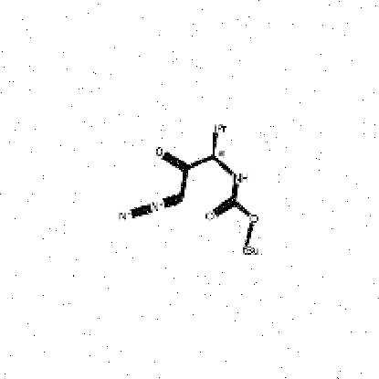 CC(C)[C@@H](NC(=O)OC(C)(C)C)C(=O)C=[N+]=[N-]